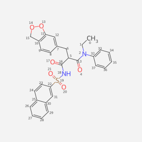 CCN(C(=O)C(Cc1ccc2c(c1)OOC2)C(=O)NS(=O)(=O)c1ccc2ccccc2c1)c1ccccc1